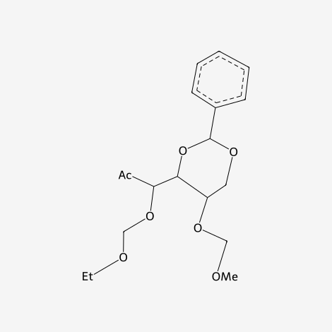 CCOCOC(C(C)=O)C1OC(c2ccccc2)OCC1OCOC